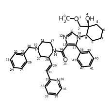 COC[C@]1(O)CCCC[C@H]1n1cnc(C(=O)N2CCN(Cc3ccccc3)CC2/C=C/c2ccccn2)c1-c1ccccc1